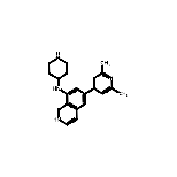 CC1=CC(c2cc3c(c(NC4CCNCC4)c2)CNC=C3)CC(C)=N1